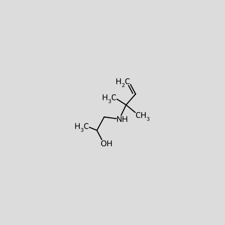 C=CC(C)(C)NCC(C)O